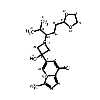 Cc1ncc2c(Cl)cc(C3(O)CN([C@H](CCC4OCCO4)C(C)C)C3)cn12